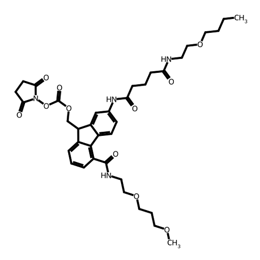 CCCCOCCNC(=O)CCCC(=O)Nc1ccc2c(c1)C(COC(=O)ON1C(=O)CCC1=O)c1cccc(C(=O)NCCOCCCOC)c1-2